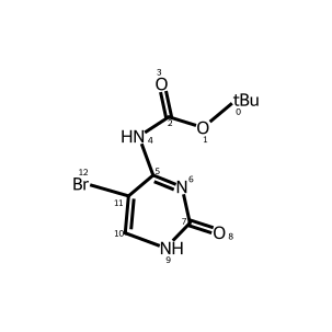 CC(C)(C)OC(=O)Nc1nc(=O)[nH]cc1Br